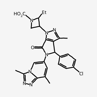 CCC1C(n2nc(C)c3c2C(=O)N(c2cc(C)c4nnc(C)n4c2)C3c2ccc(Cl)cc2)CN1C(=O)O